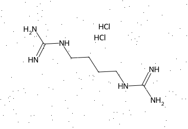 Cl.Cl.N=C(N)NCCCCNC(=N)N